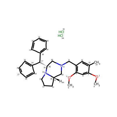 COc1cc(OC)c(CN2C[C@@H]3CCCN3[C@H](C(c3ccccc3)c3ccccc3)C2)cc1C.Cl.Cl